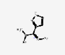 CC(=O)/N=C(\c1cc[nH]n1)N(C)C(C)=O